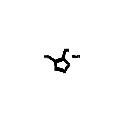 Sc1nnsc1S.[NaH]